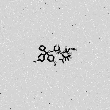 COc1ccc(C(OC[C@@]23COC(C2OP(OCCC#N)N(C(C)C)C(C)C)[C@H](n2cc(C)c(=O)[nH]c2=O)O3)(c2ccccc2)c2ccc(OC)cc2)cc1